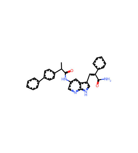 CC(C(=O)Nc1cnc2[nH]cc(C=C(C(N)=O)c3ccccc3)c2c1)c1ccc(-c2ccccc2)cc1